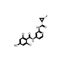 N#Cc1cc(Cl)c(C(=O)Nc2ccnc(NC(=O)[C@@H]3C[C@@H]3F)c2)c(Cl)c1